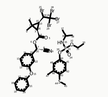 CC1(C)[C@H](C(=O)O[C@H](C#N)c2cccc(Oc3ccccc3)c2)[C@@H]1C(Br)C(Br)(Br)Br.CCOP(=O)(NC(C)C)Oc1ccc(SC)c(C)c1